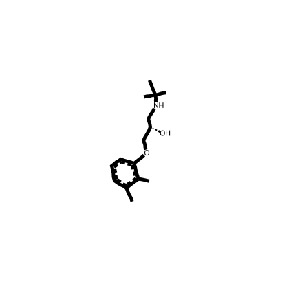 Cc1cccc(OC[C@@H](O)CNC(C)(C)C)c1C